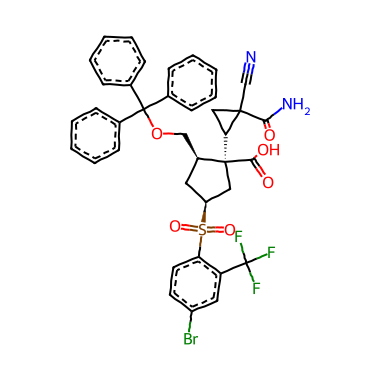 N#CC1(C(N)=O)CC1[C@]1(C(=O)O)C[C@@H](S(=O)(=O)c2ccc(Br)cc2C(F)(F)F)C[C@H]1COC(c1ccccc1)(c1ccccc1)c1ccccc1